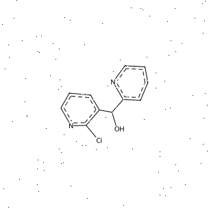 OC(c1ccccn1)c1cccnc1Cl